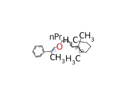 CCCC(CC[C@@H]1[C@@H](C)CCCC1(C)C)O/C=C(\C)c1ccccc1